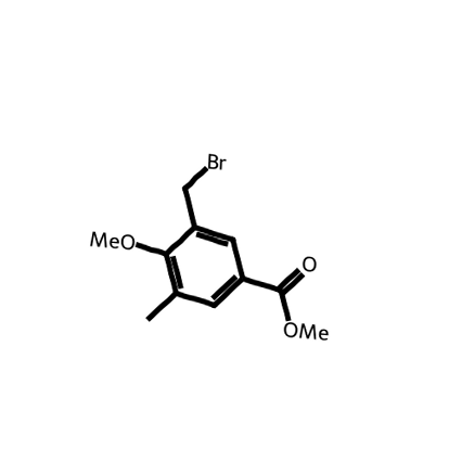 COC(=O)c1cc(C)c(OC)c(CBr)c1